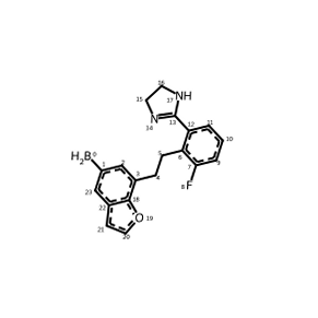 Bc1cc(CCc2c(F)cccc2C2=NCCN2)c2occc2c1